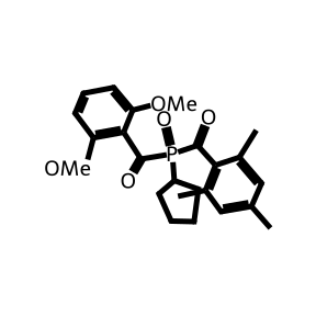 COc1cccc(OC)c1C(=O)P(=O)(C(=O)c1c(C)cc(C)cc1C)C1CCCC1